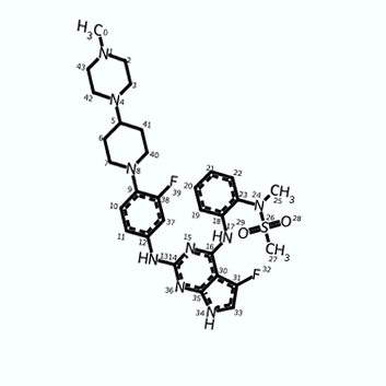 CN1CCN(C2CCN(c3ccc(Nc4nc(Nc5ccccc5N(C)S(C)(=O)=O)c5c(F)c[nH]c5n4)cc3F)CC2)CC1